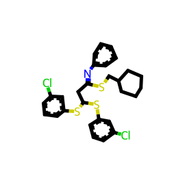 Clc1cccc(SC(CC(=Nc2ccccc2)SCC2CCCCC2)Sc2cccc(Cl)c2)c1